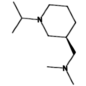 CC(C)N1CCC[C@@H](CN(C)C)C1